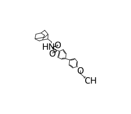 C#CCOc1ccc(-c2ccc(S(=O)(=O)NCC3C4CC5CC(C4)CC3C5)cc2)cc1